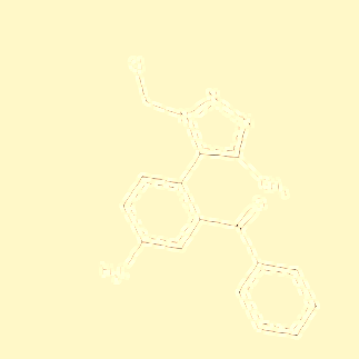 Cc1ccc(-c2c(C)nnn2CCl)c(C(=O)c2ccccc2)c1